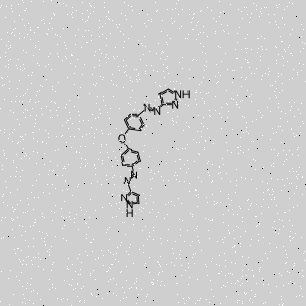 c1cc(N=Nc2ccc(Oc3ccc(N=Nc4cc[nH]n4)cc3)cc2)n[nH]1